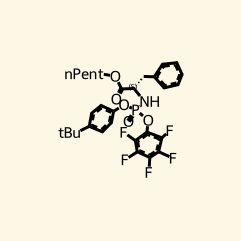 CCCCCOC(=O)[C@H](Cc1ccccc1)NP(=O)(Oc1ccc(C(C)(C)C)cc1)Oc1c(F)c(F)c(F)c(F)c1F